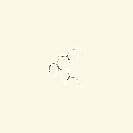 CC(=O)CC(=O)Oc1ccsc1OC(=O)CC(C)=O